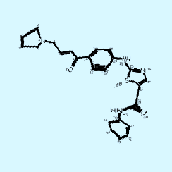 O=C(C=CCN1CCCC1)c1ccc(Nc2ncc(C(=O)Nc3ccccc3)s2)cc1